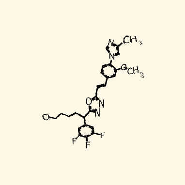 COc1cc(/C=C/c2nnc(C(CCCCCl)c3cc(F)c(F)c(F)c3)o2)ccc1-n1cnc(C)c1